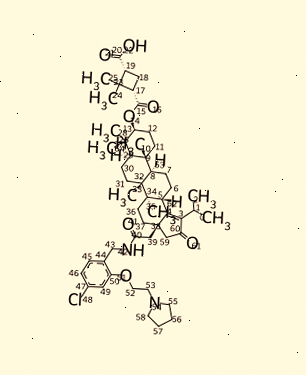 CC(C)C1=C2[C@H]3CC[C@@H]4[C@@]5(C)CC[C@H](OC(=O)[C@H]6C[C@@H](C(=O)O)C6(C)C)C(C)(C)[C@@H]5CC[C@@]4(C)[C@]3(C)CC[C@@]2(CC(=O)NCc2ccc(Cl)cc2OCCN2CCCC2)CC1=O